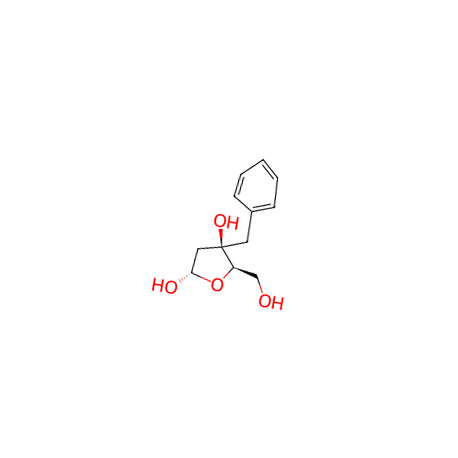 OC[C@H]1O[C@H](O)C[C@]1(O)Cc1ccccc1